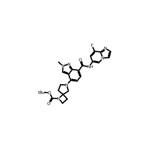 Cn1cc2c(N3CCC4(CCN4C(=O)OC(C)(C)C)C3)ccc(C(=O)Nc3cc(F)c4nccn4c3)c2n1